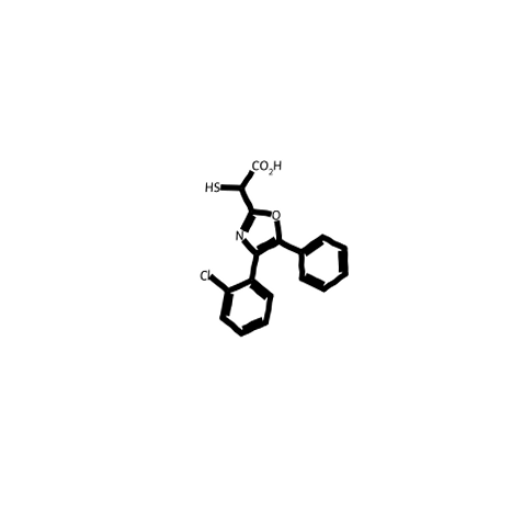 O=C(O)C(S)c1nc(-c2ccccc2Cl)c(-c2ccccc2)o1